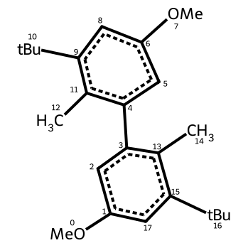 COc1cc(-c2cc(OC)cc(C(C)(C)C)c2C)c(C)c(C(C)(C)C)c1